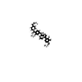 COc1ccc(-c2cnc3c(Nc4ccc(C(=O)N5CCC(CN)CC5)c(C)c4)nccn23)c(F)c1F